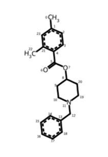 Cc1ccc(C(=O)OC2CCN(Cc3ccccc3)CC2)c(C)c1